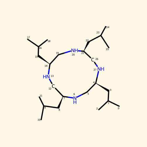 CC(C)C[C@H]1CN[C@@H](CC(C)C)CN[C@@H](CC(C)C)CN[C@@H](CC(C)C)CN1